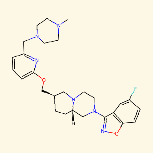 CN1CCN(Cc2cccc(OC[C@@H]3CC[C@H]4CN(c5noc6ccc(F)cc56)CCN4C3)n2)CC1